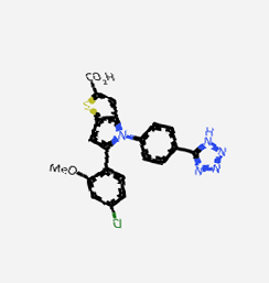 COc1cc(Cl)ccc1-c1cc2sc(C(=O)O)cc2n1-c1ccc(-c2nnn[nH]2)cc1